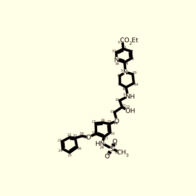 CCOC(=O)c1ccc(N2CCC(NCC(O)COc3ccc(OCc4ccccc4)c(NS(C)(=O)=O)c3)CC2)nc1